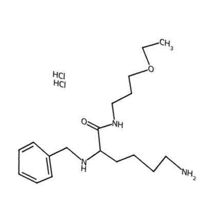 CCOCCCNC(=O)C(CCCCN)NCc1ccccc1.Cl.Cl